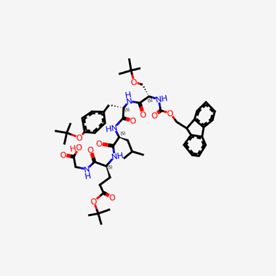 CC(C)C[C@H](NC(=O)[C@H](Cc1ccc(OC(C)(C)C)cc1)NC(=O)[C@H](COC(C)(C)C)NC(=O)OCC1c2ccccc2-c2ccccc21)C(=O)N[C@@H](CCC(=O)OC(C)(C)C)C(=O)NCC(=O)O